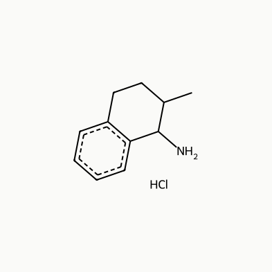 CC1CCc2ccccc2C1N.Cl